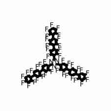 Fc1c(F)c(F)c(-c2c(F)c(F)c(-c3c(F)c(F)c(-c4nc(-c5c(F)c(F)c(-c6c(F)c(F)c(-c7c(F)c(F)c(F)c(F)c7F)c(F)c6F)c(F)c5F)nc(-c5c(F)c(F)c(-c6c(F)c(F)c(-c7c(F)c(F)c(F)c(F)c7F)c(F)c6F)c(F)c5F)n4)c(F)c3F)c(F)c2F)c(F)c1F